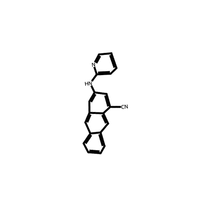 N#Cc1cc(Nc2ccccn2)cc2cc3ccccc3cc12